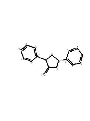 O=C1C[C@H](c2ccccc2)CN1c1ccccc1